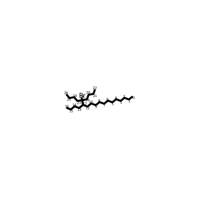 CCCCCCCCCCCCC(CCCC)C(Br)(CCCC)CCCC